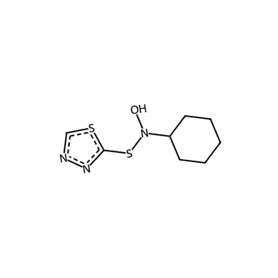 ON(Sc1nncs1)C1CCCCC1